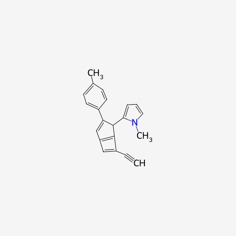 C#CC1=CC2=C1C(c1cccn1C)C(c1ccc(C)cc1)=C2